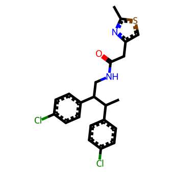 Cc1nc(CC(=O)NCC(c2ccc(Cl)cc2)C(C)c2ccc(Cl)cc2)cs1